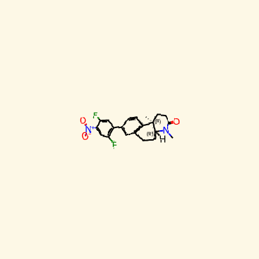 CN1C(=O)CC[C@]2(C)c3ccc(-c4cc(F)c([N+](=O)[O-])cc4F)cc3CC[C@@H]12